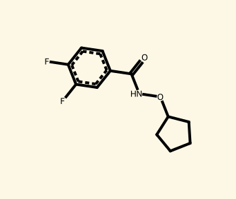 O=C(NOC1CCCC1)c1ccc(F)c(F)c1